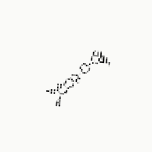 CCN(CC)c1ccc(-c2cc3ccc(C=C(C#N)C(=O)O)cc3o2)cc1